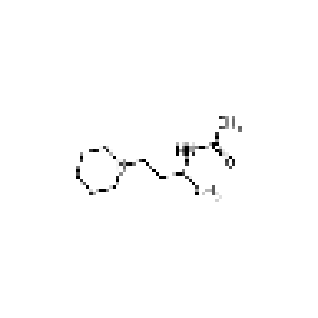 CC(=O)NC(C)CCN1CCCCC1